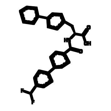 O=C(N[C@@H](Cc1ccc(-c2ccccc2)cc1)C(=O)O)c1ccc(-c2ccc(C(F)F)cc2)cc1